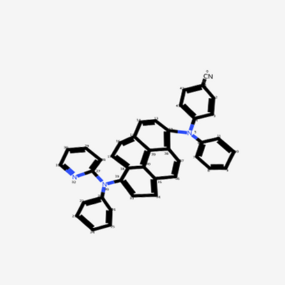 N#Cc1ccc(N(c2ccccc2)c2ccc3ccc4c(N(c5ccccc5)c5ccccn5)ccc5ccc2c3c54)cc1